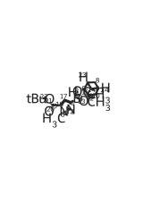 Cn1nc(B2OC3[C@@H]4C[C@H](C[C@]3(C)O2)C4(C)C)cc1C(=O)OC(C)(C)C